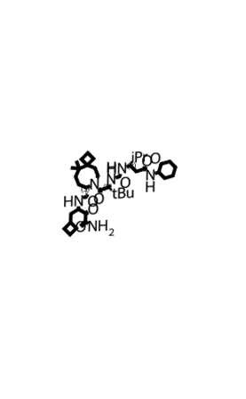 CC(C)[C@@H](CC(=O)NC1CCCCC1=O)NC(=O)N[C@H](C(=O)N1CCC2(CCC2)C(C)(C)CC[C@H]1C(=O)NC(CC1CCC1)C(=O)C(N)=O)C(C)(C)C